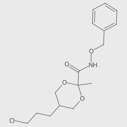 CC1(C(=O)NOCc2ccccc2)OCC(CCCCl)CO1